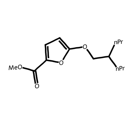 CCCC(CCC)COc1ccc(C(=O)OC)o1